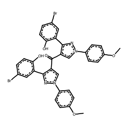 COc1ccc(-n2cc(C(=O)c3cn(-c4ccc(OC)cc4)nc3-c3cc(Br)ccc3O)c(-c3cc(Br)ccc3O)n2)cc1